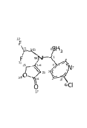 BC(c1ccc(Cl)nc1)N(CC(F)F)C1=CC(=O)OC1